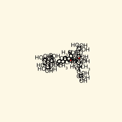 CC1O[C@@H](C2(OC(=O)[C@]34CCC(C)(C)CC3C3=CCC5C6(C)CC[C@H](O[C@@H]7OC(C(=O)O)[C@@H](O)[C@H](O[C@@H]8OC[C@@H](O)[C@H](O)C8O)C7O[C@@H]7OC(CO)[C@H](O)[C@H](O)C7O)[C@](C)(CO)[C@@H]6CC[C@]5(C)[C@]3(C)CC4O)OC3C(O)[C@@H](N(C)C(=O)CO[C@@H]4O[C@@H](CO)C(O)C4O)C(CO)O[C@H]32)C(O)C(O)[C@H]1O[C@@H]1OC[C@@H](O)C(O)C1O